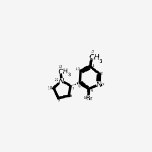 Cc1cnc(Br)c([C@@H]2CCCN2C)c1